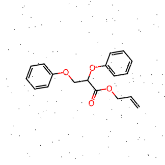 C=CCOC(=O)C(COc1ccccc1)Oc1ccccc1